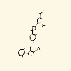 CC(C)n1nc(/C(N)=N/N)cc1C1CC(O)(c2ccc(OCc3c(-c4c(Cl)cccc4Cl)noc3C3CC3)cc2Cl)C1